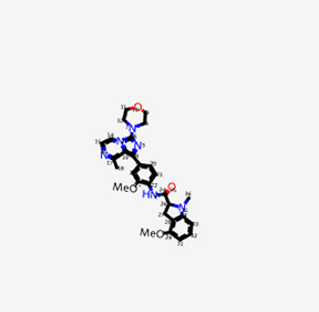 COc1cc(-c2nc(N3CCOCC3)n3ccnc(C)c23)ccc1NC(=O)C1Cc2c(OC)cccc2N1C